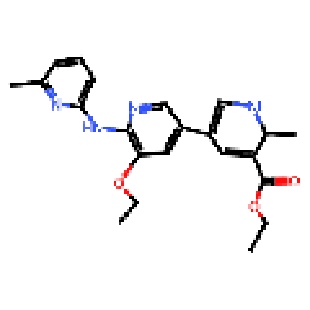 CCOC(=O)C1=CC(c2cnc(Nc3cccc(C)n3)c(OCC)c2)=CNC1C